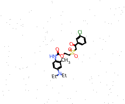 CCN(CC)c1ccc(NC(=O)OCCS(=O)(=O)CC(=O)c2cccc(Cl)c2)c(C)c1